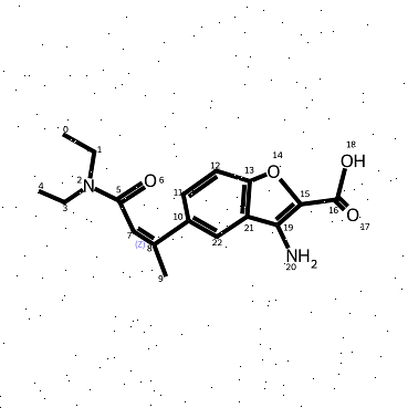 CCN(CC)C(=O)/C=C(/C)c1ccc2oc(C(=O)O)c(N)c2c1